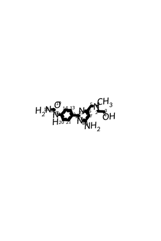 CN(CCO)Cc1cc(N)nc(-c2ccc(NC(N)=O)cc2)n1